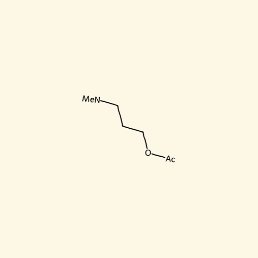 CNCCCOC(C)=O